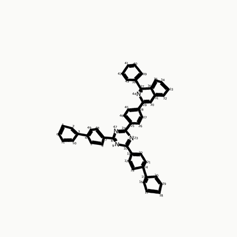 c1ccc(-c2ccc(-c3nc(-c4ccc(-c5ccccc5)cc4)nc(-c4ccc(-c5cc6ccccc6c(-c6ccccc6)n5)cc4)n3)cc2)cc1